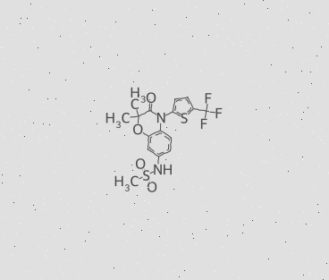 CC1(C)Oc2cc(NS(C)(=O)=O)ccc2N(c2ccc(C(F)(F)F)s2)C1=O